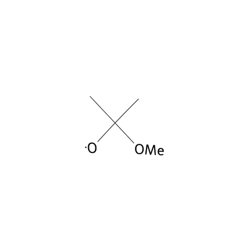 COC(C)(C)[O]